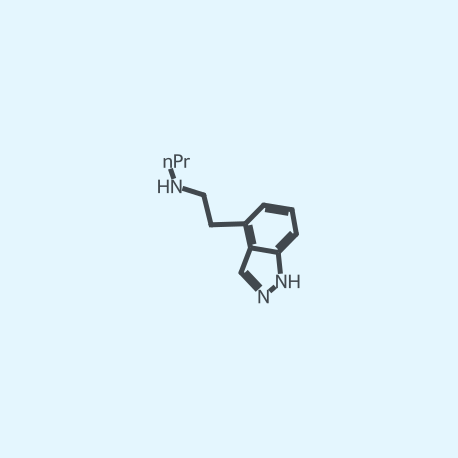 CCCNCCc1cccc2[nH]ncc12